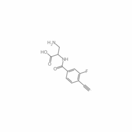 [C]#Cc1ccc(C(=O)NC(CN)C(=O)O)cc1F